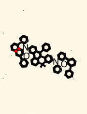 CC1(C)c2cc(N(c3ccccc3)c3cccc4c3oc3c(-c5ccccc5)cccc34)ccc2-c2c(-c3ccccc3)c3ccc(N(c4ccccc4-c4ccccc4)c4cccc5c4oc4ccccc45)cc3c3cccc1c23